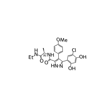 CCNC(=O)[C@@H](C)NC(=O)c1[nH]nc(-c2cc(Cl)c(O)cc2O)c1-c1ccc(OC)cc1